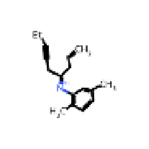 C=CC/C(CC#CCC)=N\c1cc(C)ccc1C